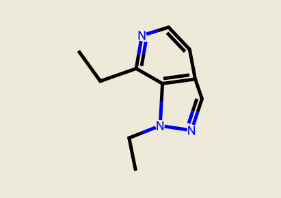 CCc1nccc2cnn(CC)c12